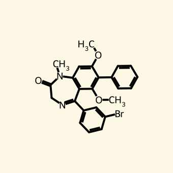 COc1cc2c(c(OC)c1-c1ccccc1)C(c1cccc(Br)c1)=NCC(=O)N2C